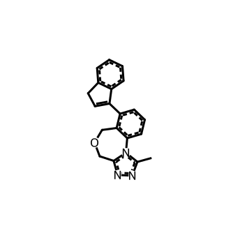 Cc1nnc2n1-c1cccc(C3=CCc4ccccc43)c1COC2